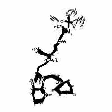 CC(C)(C)OC(=O)NCCC(=O)NCc1nc2cccnc2n1Cc1ccccc1